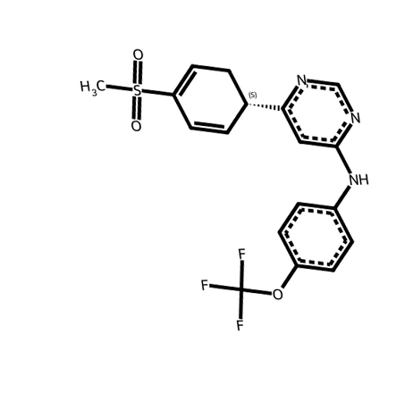 CS(=O)(=O)C1=CC[C@H](c2cc(Nc3ccc(OC(F)(F)F)cc3)ncn2)C=C1